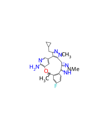 CN/N=C1/Cc2c(c(CC3CC3)nn2C)-c2cnc(N)c(c2)O[C@H](C)c2cc(F)ccc2C1=N